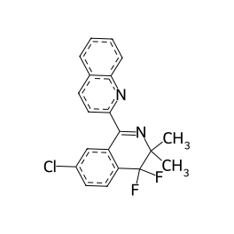 CC1(C)N=C(c2ccc3ccccc3n2)c2cc(Cl)ccc2C1(F)F